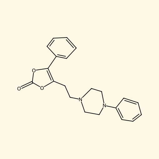 O=c1oc(CCN2CCN(c3ccccc3)CC2)c(-c2ccccc2)o1